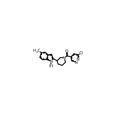 CCn1c(C2CCCN(C(=O)c3cnnc(Cl)c3)C2)cc2cc(C)ccc21